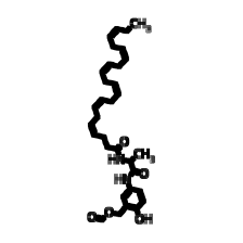 CC/C=C\C/C=C\C/C=C\C/C=C\C/C=C\C/C=C\CCC(=O)NC(C)C(=O)Nc1ccc(O)c(COC=O)c1